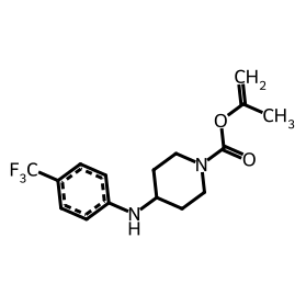 C=C(C)OC(=O)N1CCC(Nc2ccc(C(F)(F)F)cc2)CC1